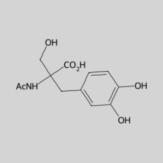 CC(=O)NC(CO)(Cc1ccc(O)c(O)c1)C(=O)O